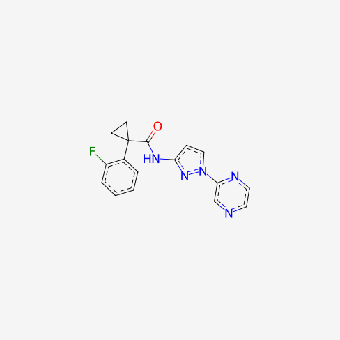 O=C(Nc1ccn(-c2cnccn2)n1)C1(c2ccccc2F)CC1